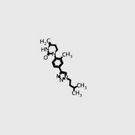 C=C1CCN(c2ccc(-c3cn(CCC(C)C)nn3)cc2C)C(=O)N1